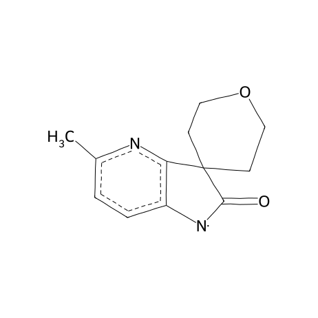 Cc1ccc2c(n1)C1(CCOCC1)C(=O)[N]2